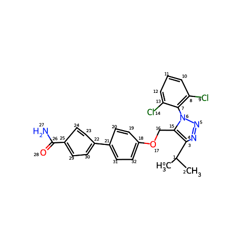 CC(C)c1nnn(-c2c(Cl)cccc2Cl)c1COc1ccc(-c2ccc(C(N)=O)cc2)cc1